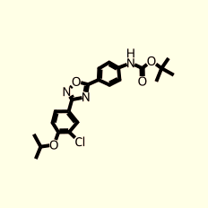 CC(C)Oc1ccc(-c2noc(-c3ccc(NC(=O)OC(C)(C)C)cc3)n2)cc1Cl